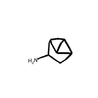 NC1CC2C3C1C23